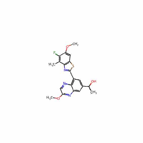 COc1cnc2c(-c3nc4c(C)c(F)c(OC)cc4s3)cc(C(C)O)cc2n1